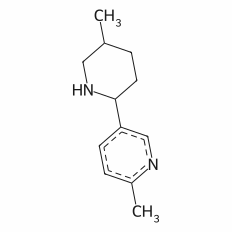 Cc1ccc(C2CCC(C)CN2)cn1